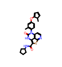 Cc1cc(OC2=CC=CC2C)ccc1N1C(=O)Nc2c(C(=O)NC3CCCC3)sc3nccc1c23